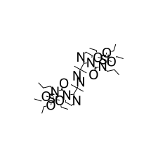 CCCN(C(=O)N1CCN=C1C(C)(C)N=NC(C)(C)C1=NCCN1C(=O)N(CCC)[Si](OCC)(OCC)OCC)[Si](OCC)(OCC)OCC